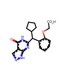 O=C(O)COc1ccccc1C(c1nc2[nH]ncc2c(=O)[nH]1)C1CCCC1